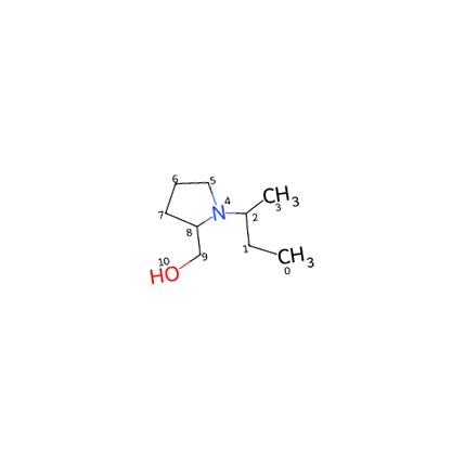 CCC(C)N1CCCC1CO